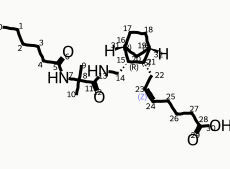 CCCCCC(=O)NC(C)(C)C(=O)NC[C@@H]1[C@@H]2CC[C@@H](C2)[C@@H]1C/C=C\CCCC(=O)O